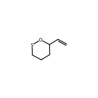 C=CC1CCCSO1